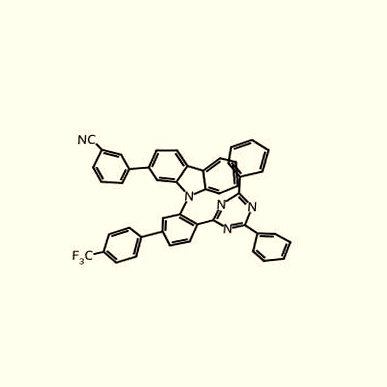 N#Cc1cccc(-c2ccc3c4ccccc4n(-c4cc(-c5ccc(C(F)(F)F)cc5)ccc4-c4nc(-c5ccccc5)nc(-c5ccccc5)n4)c3c2)c1